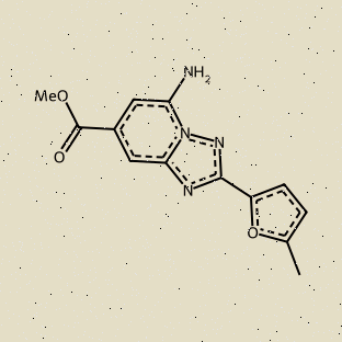 COC(=O)c1cc(N)n2nc(-c3ccc(C)o3)nc2c1